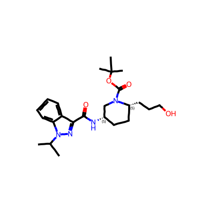 CC(C)n1nc(C(=O)N[C@H]2CC[C@@H](CCCO)N(C(=O)OC(C)(C)C)C2)c2ccccc21